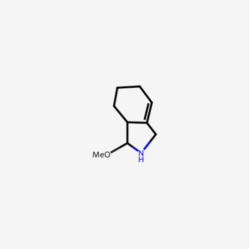 COC1NCC2=CCCCC21